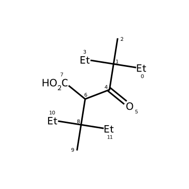 CCC(C)(CC)C(=O)C(C(=O)O)C(C)(CC)CC